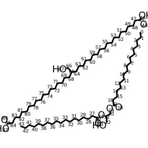 CCCCCCCCCCCCCCCCCC(=O)OCC(CO)OC(=O)CCCCCCCCCCCCCCCCC.O=C(O)CCCCCCCCCCCCCCCCCCC(CO)CCCCCCCCCCCCCCCCCC(=O)O